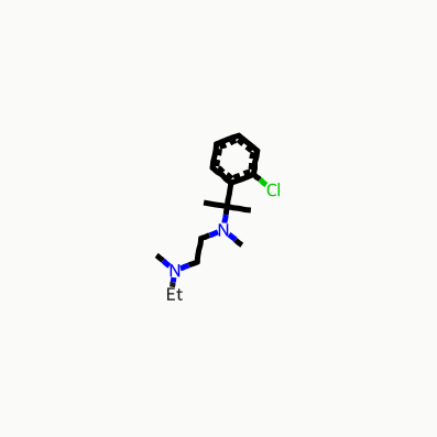 CCN(C)CCN(C)C(C)(C)c1ccccc1Cl